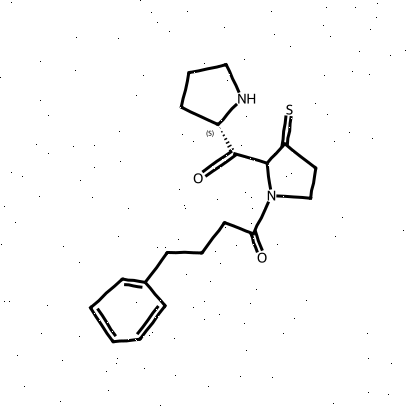 O=C(C1C(=S)CCN1C(=O)CCCc1ccccc1)[C@@H]1CCCN1